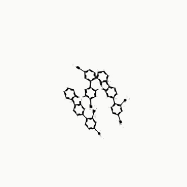 N#Cc1cccc(-c2cc(-n3c4ccccc4c4ccc(-c5ccc(C#N)cc5C#N)cc43)c(C#N)cc2-n2c3ccccc3c3ccc(-c4ccc(C#N)cc4C#N)cc32)c1